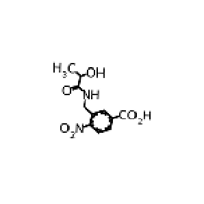 CC(O)C(=O)NCc1cc(C(=O)O)ccc1[N+](=O)[O-]